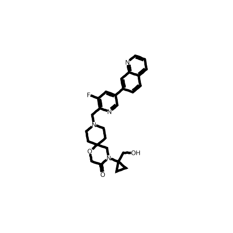 O=C1COC2(CCN(Cc3ncc(-c4ccc5cccnc5c4)cc3F)CC2)CN1C1(CO)CC1